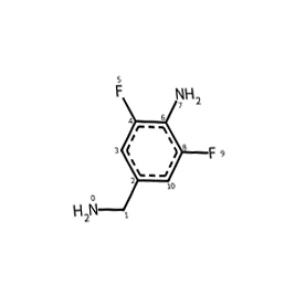 NCc1cc(F)c(N)c(F)c1